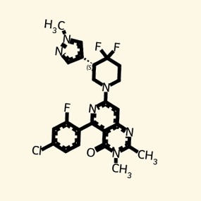 Cc1nc2cc(N3CCC(F)(F)[C@@H](c4cnn(C)c4)C3)nc(-c3ccc(Cl)cc3F)c2c(=O)n1C